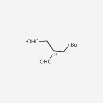 CCCCC[C@H]([C]=O)C[C]=O